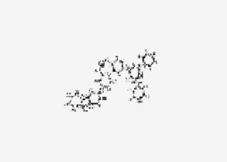 c1ccc(-c2cc(-c3ccc4c(c3)-c3ccc(-c5ccc6oc7ccccc7c6c5)cc3COC4)cc(-c3ccccc3)n2)cc1